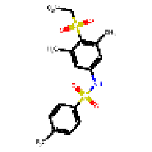 Cc1cc(NS(=O)(=O)c2ccc(C(F)(F)F)cc2)cc(C)c1S(=O)(=O)C[N+](=O)[O-]